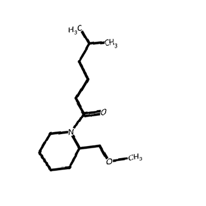 COCC1CCCCN1C(=O)CCCC(C)C